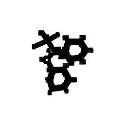 CC(C)(C)[SiH](Oc1ccccc1)c1ccccc1